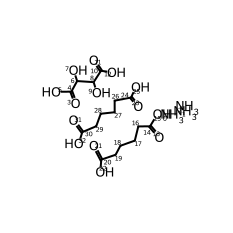 N.N.N.O=C(O)C(O)C(O)C(=O)O.O=C(O)CCCCC(=O)O.O=C(O)CCCCC(=O)O